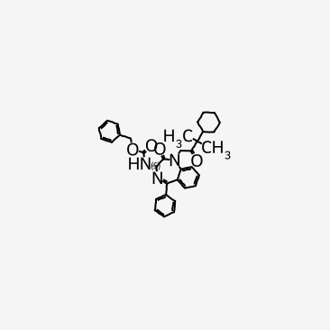 CC(C)(C(=O)CN1C(=O)[C@@H](NC(=O)OCc2ccccc2)N=C(c2ccccc2)c2ccccc21)C1CCCCC1